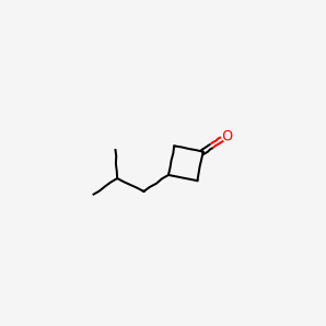 CC(C)CC1CC(=O)C1